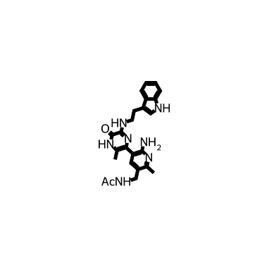 CC(=O)NCc1cc(-c2nc(NCCc3c[nH]c4ccccc34)c(=O)[nH]c2C)c(N)nc1C